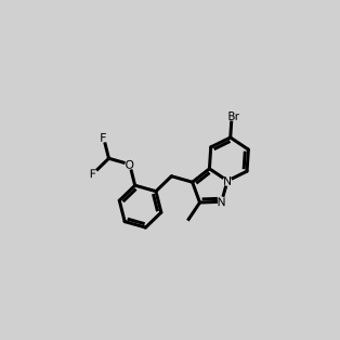 Cc1nn2ccc(Br)cc2c1Cc1ccccc1OC(F)F